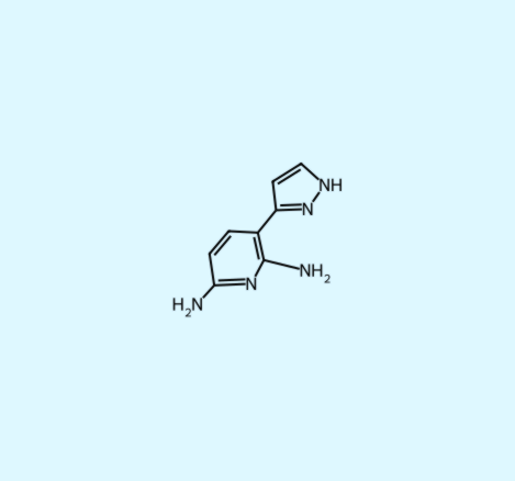 Nc1ccc(-c2cc[nH]n2)c(N)n1